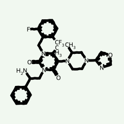 Cc1c(N2CCN(c3cocn3)CC2C)c(=O)n(CC(N)c2ccccc2)c(=O)n1Cc1c(F)cccc1C(F)(F)F